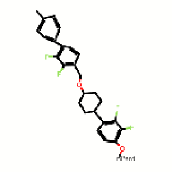 CCCCCOc1ccc(C2CCC(OCc3ccc(-c4ccc(C)cc4)c(F)c3F)CC2)c(F)c1F